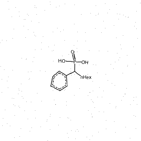 CCCCCCC(c1ccccc1)P(=O)(O)O